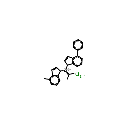 C[C](C)=[Zr+2]([CH]1C=Cc2c(C)cccc21)[CH]1C=Cc2c(-c3ccccc3)cccc21.[Cl-].[Cl-]